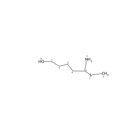 CSC(N)CCCCO